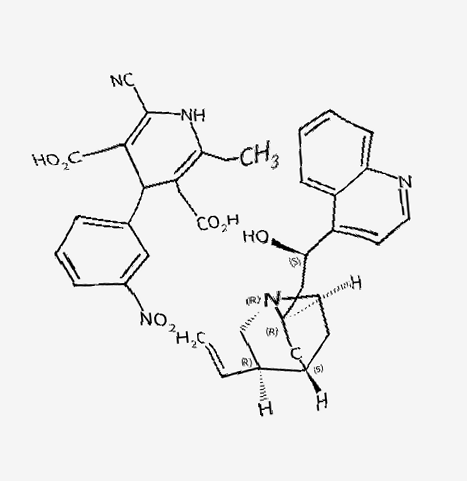 C=C[C@H]1C[N@]2CC[C@H]1C[C@@H]2[C@@H](O)c1ccnc2ccccc12.CC1=C(C(=O)O)C(c2cccc([N+](=O)[O-])c2)C(C(=O)O)=C(C#N)N1